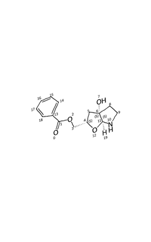 O=C(OC[C@@H]1C[C@@]2(O)CCN[C@H]2O1)c1ccccc1